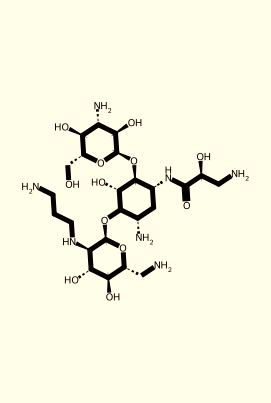 NCCCN[C@H]1[C@@H](OC2[C@@H](N)C[C@@H](NC(=O)[C@@H](O)CN)[C@H](O[C@H]3O[C@H](CO)[C@@H](O)[C@H](N)[C@H]3O)[C@H]2O)O[C@H](CN)[C@@H](O)[C@@H]1O